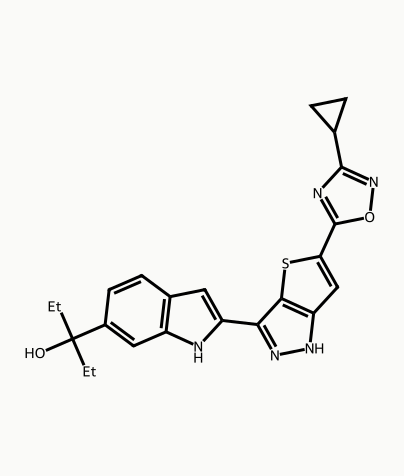 CCC(O)(CC)c1ccc2cc(-c3n[nH]c4cc(-c5nc(C6CC6)no5)sc34)[nH]c2c1